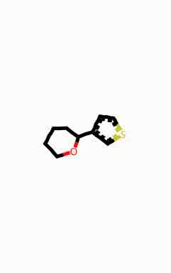 c1cc(C2CCCCO2)cs1